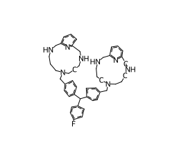 Fc1ccc(C(c2ccc(CN3CCCNCc4cccc(n4)CNCCC3)cc2)c2ccc(CN3CCCNCc4cccc(n4)CNCCC3)cc2)cc1